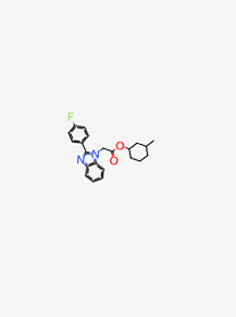 CC1CCCC(OC(=O)Cn2c(-c3ccc(F)cc3)nc3ccccc32)C1